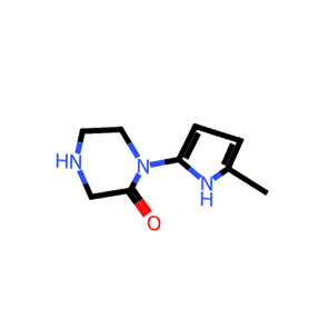 Cc1ccc(N2CCNCC2=O)[nH]1